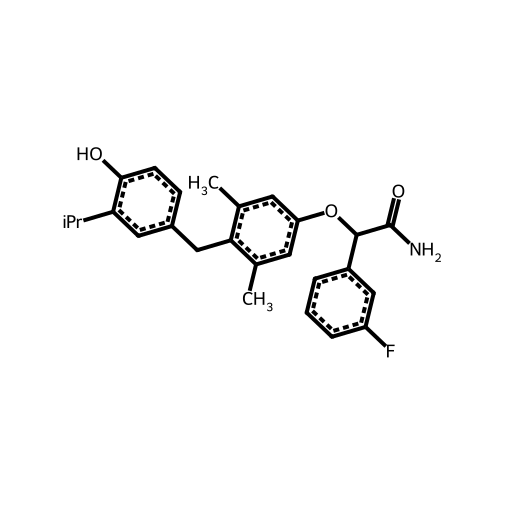 Cc1cc(OC(C(N)=O)c2cccc(F)c2)cc(C)c1Cc1ccc(O)c(C(C)C)c1